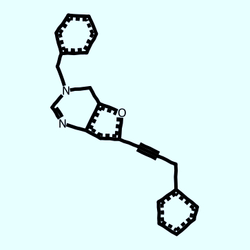 C(#Cc1cc2c(o1)CN(Cc1ccccc1)C=N2)Cc1ccccc1